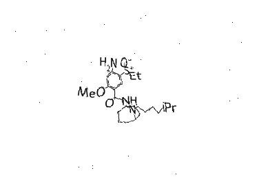 CC[S+]([O-])c1cc(C(=O)NC23CCCC(CC2)N3CCCCC(C)C)c(OC)cc1N